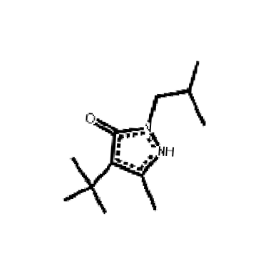 Cc1[nH]n(CC(C)C)c(=O)c1C(C)(C)C